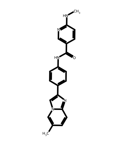 CNc1ccc(C(=O)Nc2ccc(-c3cn4cc(C)ccc4n3)cc2)cn1